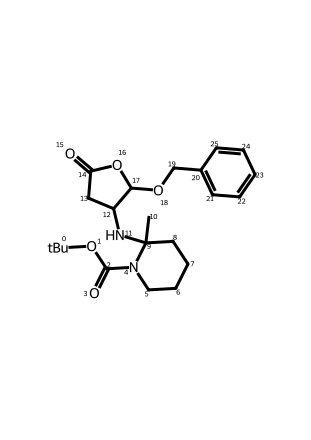 CC(C)(C)OC(=O)N1CCCCC1(C)NC1CC(=O)OC1OCc1ccccc1